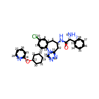 N[C@@H](C(=O)N[C@@H]1Cc2cc(Cl)ccc2-n2c(nnc2[C@H]2CC[C@H](Oc3ccccn3)CC2)C1)c1ccccc1